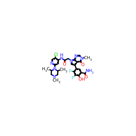 CC1CN(C)CC(C)N1c1cc(NC(=O)Cn2cc(-c3cc(C(N)=O)c(O)c(F)c3F)c3c(=O)n(C)cnc32)c(Cl)cn1